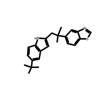 CC(C)(C)c1ccc2[nH]c(CC(C)(C)c3ccc4scnc4c3)cc2c1